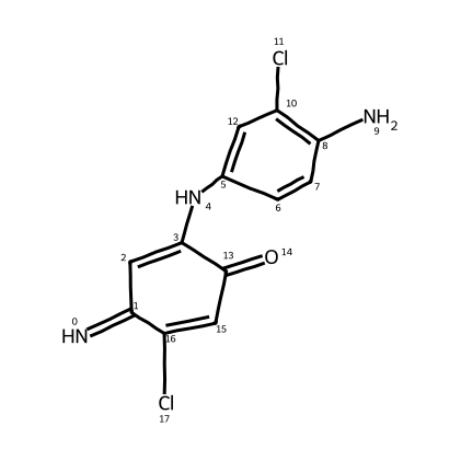 N=C1C=C(Nc2ccc(N)c(Cl)c2)C(=O)C=C1Cl